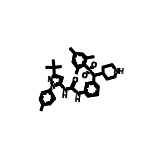 Cc1ccc(-n2nc(C(C)(C)C)cc2NC(=O)Nc2cccc(C(C3CCNCC3)S(=O)(=O)c3c(C)cc(C)cc3C)c2)cc1